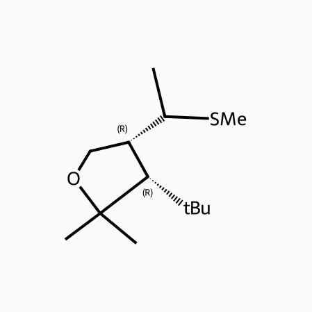 CSC(C)[C@H]1COC(C)(C)[C@H]1C(C)(C)C